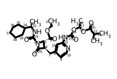 CCOC(=O)[C@@H]1[C@@H](Cc2ccnc(NC(=O)OC(C)OC(=O)C(C)C)c2)C(=O)N1C(=O)N[C@H](C)C1CCCCC1